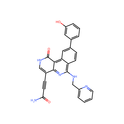 NC(=O)C#Cc1c[nH]c(=O)c2c1nc(NCc1ccccn1)c1ccc(-c3cccc(O)c3)cc12